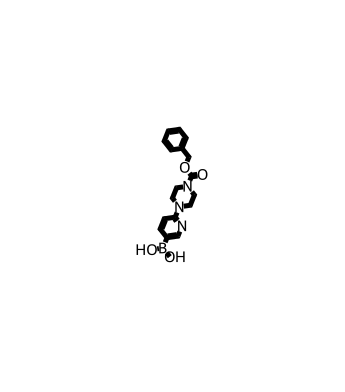 O=C(OCc1ccccc1)N1CCN(c2ccc(B(O)O)cn2)CC1